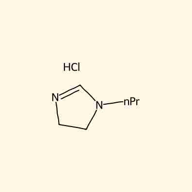 CCCN1C=NCC1.Cl